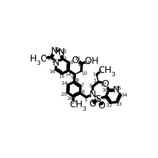 CC[C@@H]1CN(Cc2cc([C@H](CC(=O)O)c3ccn4c(C)nnc4c3)ccc2C)S(=O)(=O)c2cccnc2O1